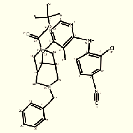 [C-]#[N+]c1ccc(Nc2ncnc(OC3C4CN(Cc5ccccc5)CC3CN(C(=O)OC(C)(C)C)C4)c2C)c(Cl)c1